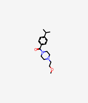 COCCN1CCN(C(=O)c2ccc(C(C)C)cc2)CC1